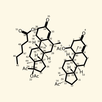 CC(=O)OC1CC(=O)C=C2CC[C@H]3[C@@H]4CC[C@H](C(C)=O)[C@@]4(C)CC[C@@H]3[C@]21C.CC(=O)O[C@]1(C(C)=O)CC[C@H]2[C@@H]3C[C@H](C)C4=CC(=O)CC[C@]4(C)[C@H]3CC[C@@]21C.CCCCCC(=O)O